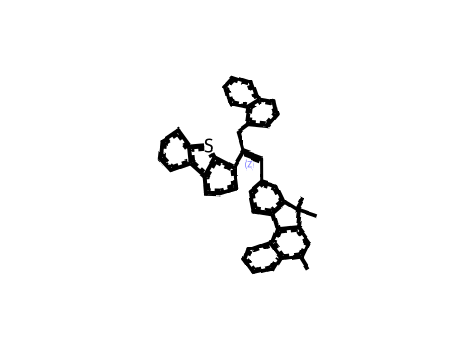 Cc1cc2c(c3ccccc13)-c1ccc(/C=C(/Cc3cccc4ccccc34)c3cccc4c3sc3ccccc34)cc1C2(C)C